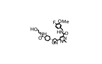 COc1cc(CNC(=O)c2cc(C3=NOC([C@H]4CC[C@H](C(=O)NCCO)CC4)C3)nc(C)n2)ccc1F